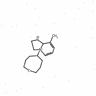 CC1=CC=C[N+]2(C3CCCCCCC3)CCNC12